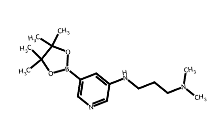 CN(C)CCCNc1cncc(B2OC(C)(C)C(C)(C)O2)c1